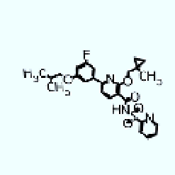 CC(C)COc1cc(F)cc(-c2ccc(C(=O)NS(=O)(=O)c3ccccn3)c(OCC3(C)CC3)n2)c1